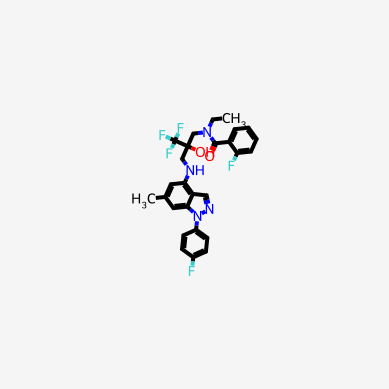 CCN(CC(O)(CNc1cc(C)cc2c1cnn2-c1ccc(F)cc1)C(F)(F)F)C(=O)c1ccccc1F